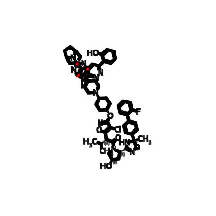 CC(C)[C@@H](C(=O)N1C[C@H](O)C[C@H]1C1=NO[C@@](C)(c2ccc(-c3ccccc3F)cc2)N1)c1onc(O[C@H]2CC[C@H](N3CCC(c4cnc(N5C6CCC5CN(c5c[nH]c7nnc(-c8ccccc8O)cc57)C6)nc4)CC3)CC2)c1Cl